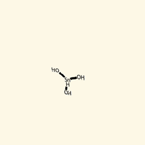 [OH][SnH]([OH])[OH]